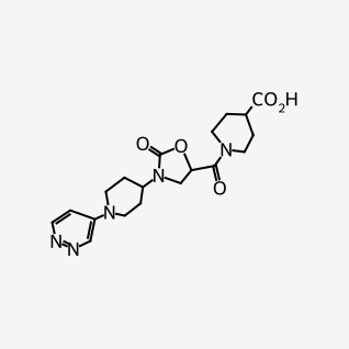 O=C(O)C1CCN(C(=O)C2CN(C3CCN(c4ccnnc4)CC3)C(=O)O2)CC1